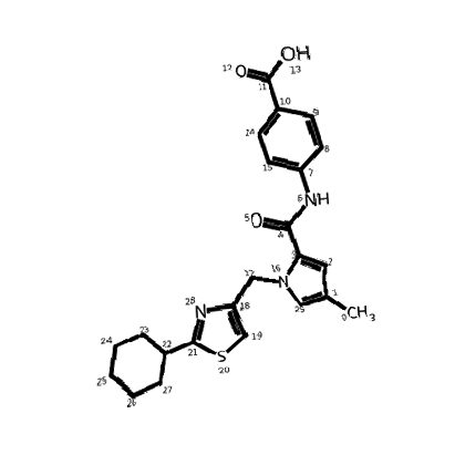 Cc1cc(C(=O)Nc2ccc(C(=O)O)cc2)n(Cc2csc(C3CCCCC3)n2)c1